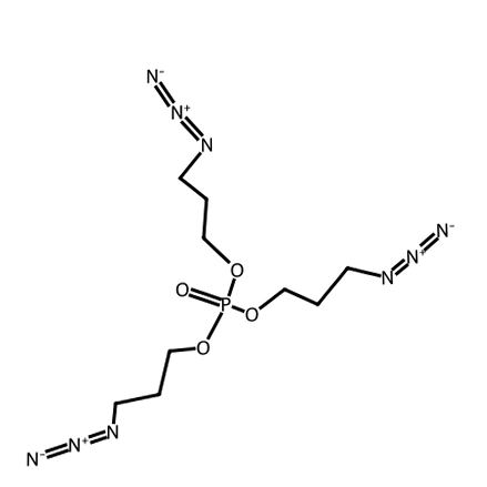 [N-]=[N+]=NCCCOP(=O)(OCCCN=[N+]=[N-])OCCCN=[N+]=[N-]